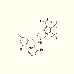 O=C(Cn1nc(C(F)F)c2c1C(F)(F)CCC2(F)F)NC(Cc1cc(F)cc(F)c1)c1ncccc1Br